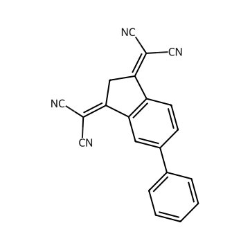 N#CC(C#N)=C1CC(=C(C#N)C#N)c2cc(-c3ccccc3)ccc21